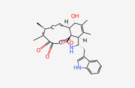 CC1=C(C)[C@H]2[C@H](Cc3c[nH]c4ccccc34)NC(=O)[C@]23C(=O)CCC(=O)C(=O)/C(C)=C/[C@@H](C)C/C=C/[C@H]3[C@@H]1O